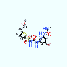 CNC(=O)Nc1cc(Br)cc(NC(=O)NS(=O)(=O)c2cc(C)c(CCOC)s2)n1